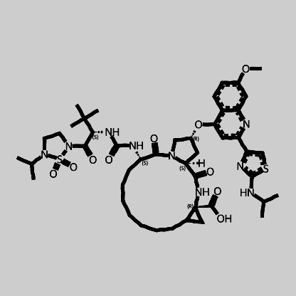 COc1ccc2c(O[C@@H]3C[C@H]4C(=O)N[C@]5(C(=O)O)CC5CCCCCCC[C@H](NC(=O)N[C@H](C(=O)N5CCN(C(C)C)S5(=O)=O)C(C)(C)C)C(=O)N4C3)cc(-c3csc(NC(C)C)n3)nc2c1